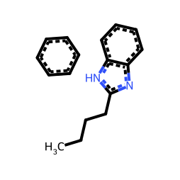 CCCCc1nc2ccccc2[nH]1.c1ccccc1